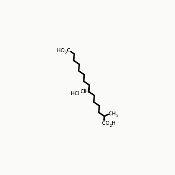 CC(CCCCCCCCCCCCC(=O)O)C(=O)O.Cl.Cl